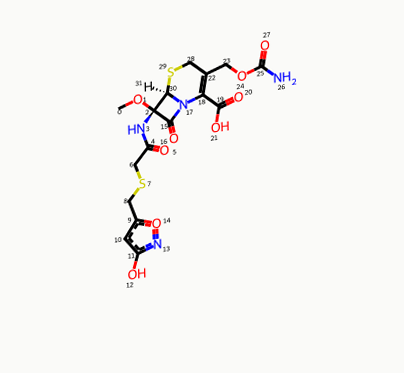 CO[C@@]1(NC(=O)CSCc2cc(O)no2)C(=O)N2C(C(=O)O)=C(COC(N)=O)CS[C@@H]21